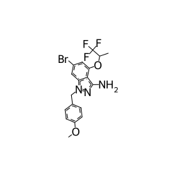 COc1ccc(Cn2nc(N)c3c(OC(C)C(F)(F)F)cc(Br)cc32)cc1